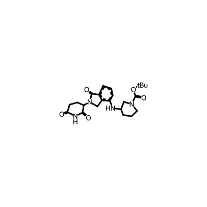 CC(C)(C)OC(=O)N1CCCC(Nc2cccc3c2CN(C2CCC(=O)NC2=O)C3=O)C1